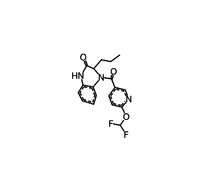 CCCC1C(=O)Nc2ccccc2N1C(=O)c1ccc(OC(F)F)nc1